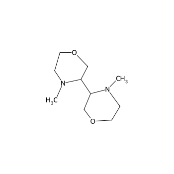 CN1CCOCC1C1COCCN1C